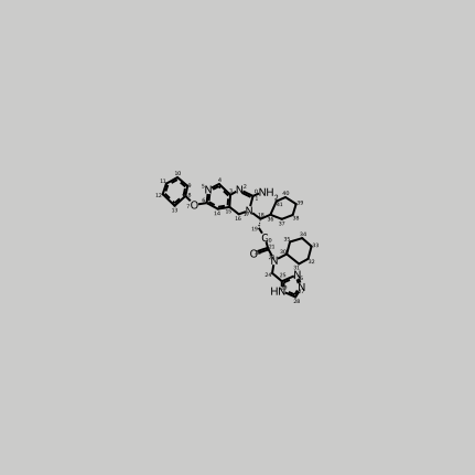 NC1=Nc2cnc(Oc3ccccc3)cc2CN1[C@@H](CCC(=O)N(Cc1nnc[nH]1)C1CCCCC1)C1CCCCC1